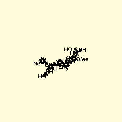 COc1cc(Cn2ncc3c(-c4cccc(COc5cc(OCc6cncc(C#N)c6)c(CNCCO)cc5Cl)c4C)cccc32)c(Cl)cc1CNC(CO)C(=O)O